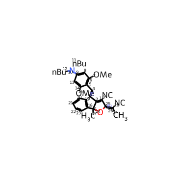 [C-]#[N+]C1=C(/C=C/c2c(OC)cc(N(CCCC)CCCC)cc2OC)C(C)(c2ccccc2)O/C1=C(\C)[N+]#[C-]